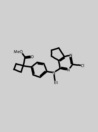 CCN(c1ccc(C2(C(=O)OC)CCC2)cc1)c1nc(Cl)nc2c1CCC2